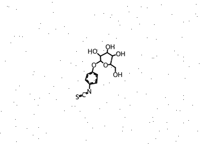 OCC1OC(Oc2ccc(N=C=S)cc2)C(O)C(O)C1O